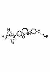 CC(C)(C)OC(=O)N1CCC2(CC=C=C([C@H]3CC[C@@H](OCCCF)CC3)NC2=O)CC1